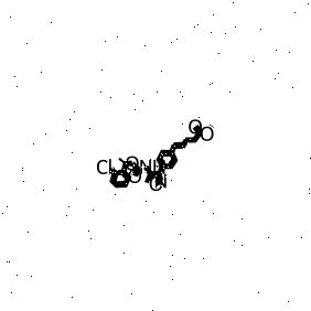 COC(=O)CCC=Cc1ccc(-c2nocc2NC(=O)O[C@H](C)c2ccccc2Cl)cc1